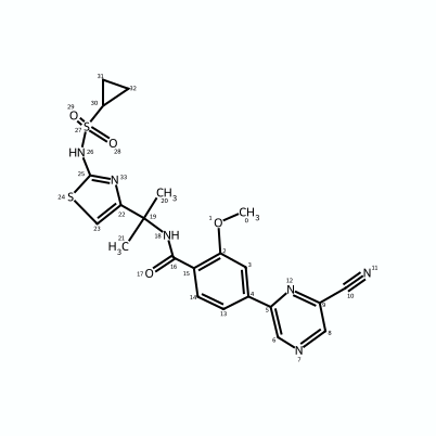 COc1cc(-c2cncc(C#N)n2)ccc1C(=O)NC(C)(C)c1csc(NS(=O)(=O)C2CC2)n1